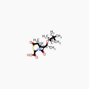 C[C@@H](O[Si](C)(C)C(C)(C)C)[C@H]1C(=O)N2C(C(=O)O)SC(=O)[C@H](C)[C@H]12